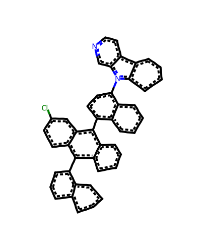 Clc1ccc2c(-c3cccc4ccccc34)c3ccccc3c(-c3ccc(-n4c5ccccc5c5ccncc54)c4ccccc34)c2c1